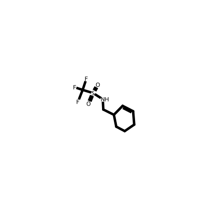 O=S(=O)(NCC1C=CCCC1)C(F)(F)F